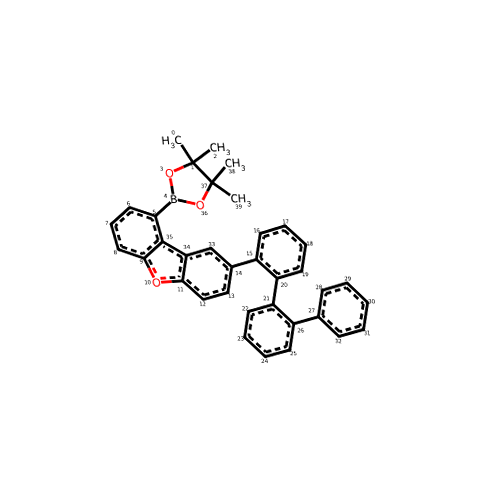 CC1(C)OB(c2cccc3oc4ccc(-c5ccccc5-c5ccccc5-c5ccccc5)cc4c23)OC1(C)C